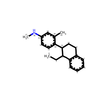 CCC1c2ccccc2CCC1c1ccc(NC)cc1C